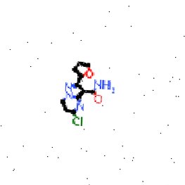 NC(=O)c1c(-c2ccco2)nn2ccc(Cl)nc12